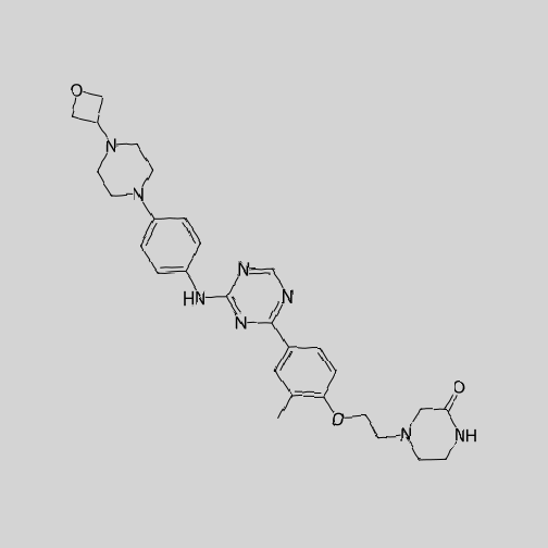 Cc1cc(-c2ncnc(Nc3ccc(N4CCN(C5COC5)CC4)cc3)n2)ccc1OCCN1CCNC(=O)C1